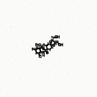 CCOC(=O)C1=CC2(CCC1S(=O)(=O)Nc1c(F)cc(F)cc1Cl)O[C@H](CO)[C@@H](CO)O2